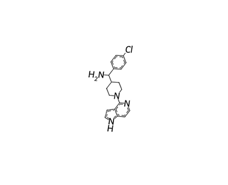 NC(c1ccc(Cl)cc1)C1CCN(c2nccc3[nH]ccc23)CC1